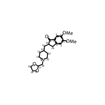 COc1cc2c(cc1OC)C(=O)C(CC1CCN(CC3OCCO3)CC1)C2